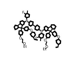 C=Cc1ccc(Oc2ccc(C3(c4ccc(OCCOCC)cc4)c4ccccc4-c4ccc(N(c5ccc(-c6ccc(N(c7ccc(C)c(F)c7)c7ccc8c(c7)C(c7ccc(OCCOCC)cc7)(c7ccc(Oc9ccc(C=C)cc9)cc7)c7ccccc7-8)cc6)cc5)c5ccc(C)c(F)c5)cc43)cc2)cc1